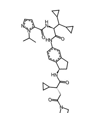 CC(C)n1nccc1C(=O)N[C@H](C(=O)Nc1ccc2c(c1)CC[C@H]2NC(=O)[C@H](CC(=O)N1CCC1)C1CC1)C(C1CC1)C1CC1